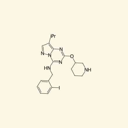 CC(C)c1cnn2c(NCc3ccccc3I)nc(OC3CCCNC3)nc12